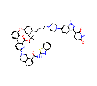 Cn1nc(C2CCC(=O)NC2=O)c2ccc(N3CCN(CCCC[C@H]4CC[C@H](Oc5cccc(-c6ccc(N7CCc8cccc(C(=O)Nc9nc%10ccccc%10s9)c8C7)nc6C(=O)OC(C)(C)C)c5)CC4)CC3)cc21